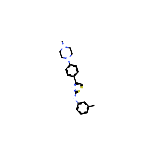 Cc1cccc(Nc2nc(-c3ccc(N4CCN(C)CC4)cc3)cs2)c1